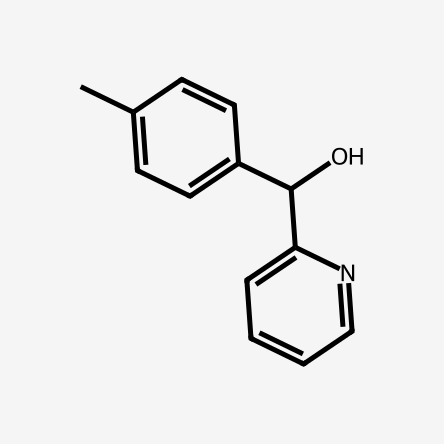 Cc1ccc(C(O)c2ccccn2)cc1